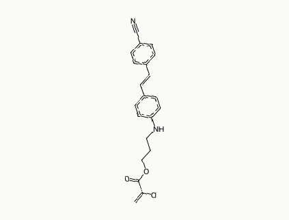 C=C(Cl)C(=O)OCCCNc1ccc(C=Cc2ccc(C#N)cc2)cc1